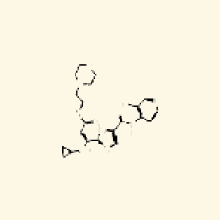 O=C(Nc1ccncc1F)c1cnc2c(NC3CC3)cc(NCCN3CCOCC3)nn12